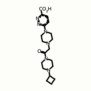 O=C(O)c1ccc(N2CCN(CC(=O)N3CCN(C4CCC4)CC3)CC2)nn1